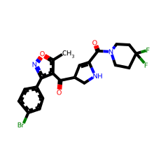 Cc1onc(-c2ccc(Br)cc2)c1C(=O)C1C=C(C(=O)N2CCC(F)(F)CC2)NC1